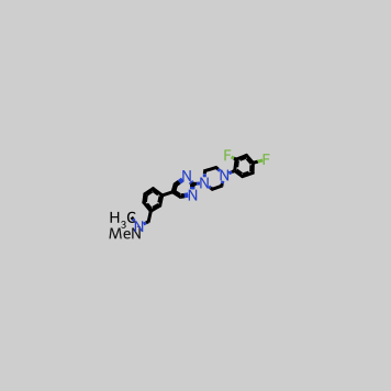 CNN(C)Cc1cccc(-c2cnc(N3CCN(c4ccc(F)cc4F)CC3)nc2)c1